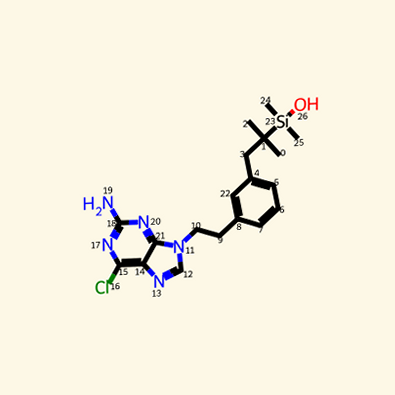 CC(C)(Cc1cccc(CCn2cnc3c(Cl)nc(N)nc32)c1)[Si](C)(C)O